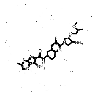 COC(C)COC1CN(c2nc3c(cc2F)CC(NC(=O)c2sc4nc(C)cnc4c2N)CC3)CC1N